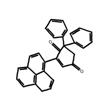 O=C1C=C(c2ccc3cccc4c3c2C=CC4)C(=O)C(c2ccccc2)(c2ccccc2)C1